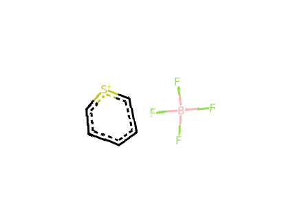 F[B-](F)(F)F.c1cc[s+]cc1